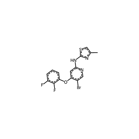 Cc1csc(Nc2cc(Oc3cccc(F)c3F)c(Br)cn2)n1